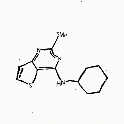 CSc1nc(NC2CCCCC2)c2sccc2n1